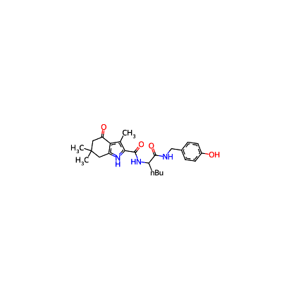 CCCCC(NC(=O)c1[nH]c2c(c1C)C(=O)CC(C)(C)C2)C(=O)NCc1ccc(O)cc1